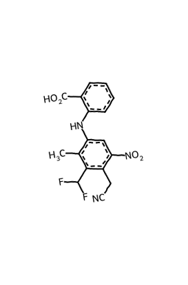 Cc1c(Nc2ccccc2C(=O)O)cc([N+](=O)[O-])c(CC#N)c1C(F)F